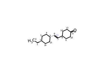 CC[C@H]1CC[C@H](/C=C/C2CCC(=O)CC2)CC1